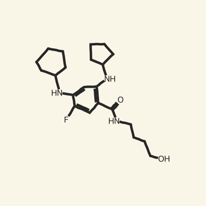 O=C(NCCCCO)c1cc(F)c(NC2CCCCC2)cc1NC1CCCC1